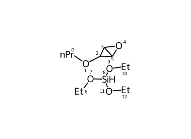 CCCOC1C2OC12.CCO[SiH](OCC)OCC